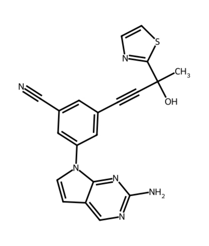 CC(O)(C#Cc1cc(C#N)cc(-n2ccc3cnc(N)nc32)c1)c1nccs1